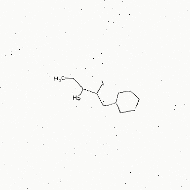 CCC(S)C(I)CC1CCCCC1